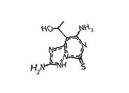 CC(O)c1c(N)nc(=S)n2[nH]c(N)nc12